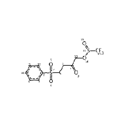 O=C(CCS(=O)(=O)c1ccccc1)COS(=O)C(F)(F)F